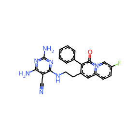 N#Cc1c(N)nc(N)nc1NCCc1cc2ccc(F)cn2c(=O)c1-c1ccccc1